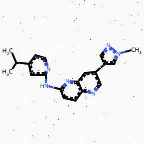 CC(C)c1ccnc(Nc2ccc3ncc(-c4cnn(C)c4)cc3n2)c1